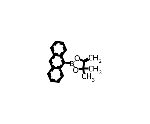 C=C1OB(c2c3ccccc3cc3ccccc23)OC1(C)C